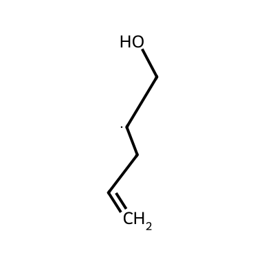 C=CC[CH]CO